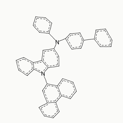 c1ccc(-c2ccc(N(c3ccccc3)c3ccc4c(c3)c3ccccc3n4-c3cc4ccccc4c4ccccc34)cc2)cc1